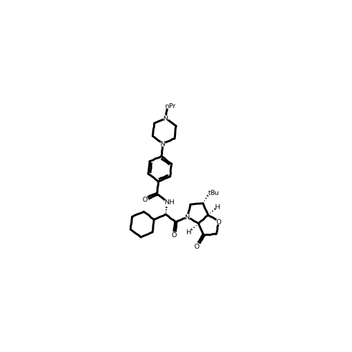 CCCN1CCN(c2ccc(C(=O)N[C@H](C(=O)N3C[C@H](C(C)(C)C)[C@H]4OCC(=O)[C@H]43)C3CCCCC3)cc2)CC1